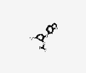 FC(F)Oc1cc(C(F)(F)F)ccc1Oc1ccc2ccoc2c1